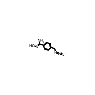 [N-]=[N+]=NCc1ccc(/C(N)=N/O)cc1